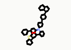 c1ccc(-c2ccc(N(c3ccc(-c4ccc(-c5cccc6ccccc56)cc4)cc3)c3ccccc3-c3ccc4sc5ccccc5c4c3)cc2)cc1